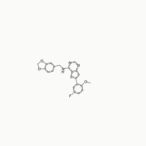 COc1ccc(F)cc1-c1cc2ncnc(NCc3ccc4c(c3)OCO4)c2s1